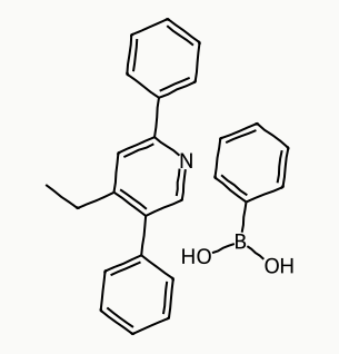 CCc1cc(-c2ccccc2)ncc1-c1ccccc1.OB(O)c1ccccc1